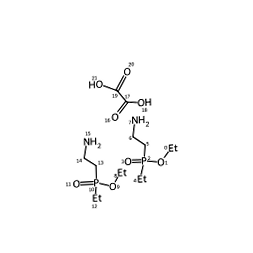 CCOP(=O)(CC)CCN.CCOP(=O)(CC)CCN.O=C(O)C(=O)O